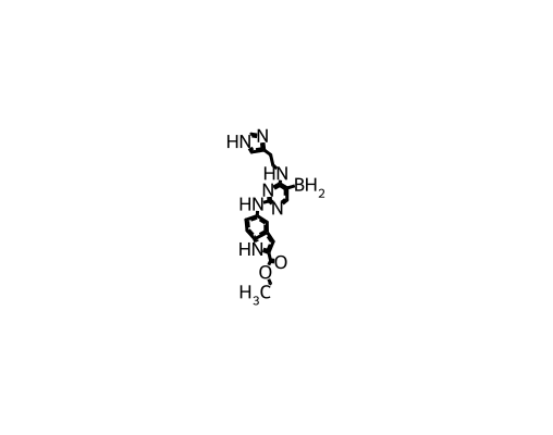 Bc1cnc(Nc2ccc3[nH]c(C(=O)OCC)cc3c2)nc1NCCc1c[nH]cn1